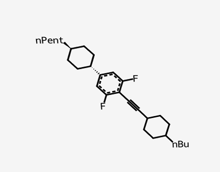 CCCCC[C@H]1CC[C@H](c2cc(F)c(C#CC3CCC(CCCC)CC3)c(F)c2)CC1